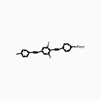 CCCCCc1ccc(C#Cc2c(F)cc(C#Cc3ccc(C)cc3)cc2F)cc1